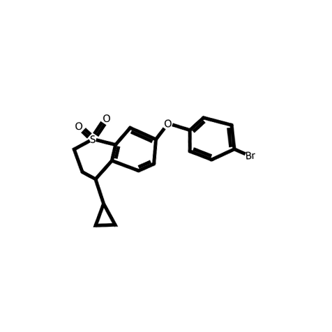 O=S1(=O)CCC(C2CC2)c2ccc(Oc3ccc(Br)cc3)cc21